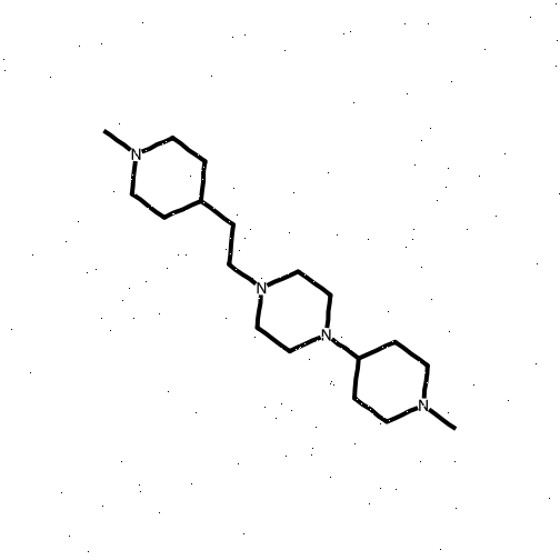 CN1CCC(CCN2CCN(C3CCN(C)CC3)CC2)CC1